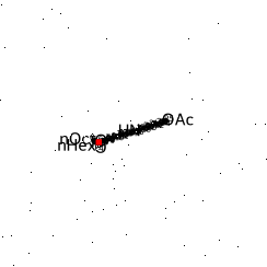 CCCCCCCCC(CCCCCC)C(=O)OCCCCCCCCCNCCCCCCCCCOC(C)=O